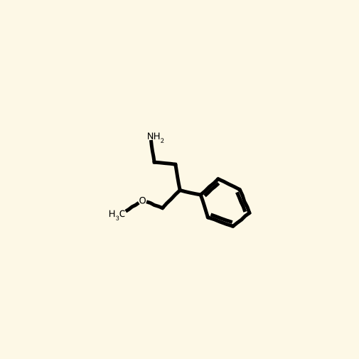 COCC(CCN)c1ccccc1